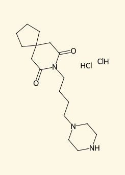 Cl.Cl.O=C1CC2(CCCC2)CC(=O)N1CCCCN1CCNCC1